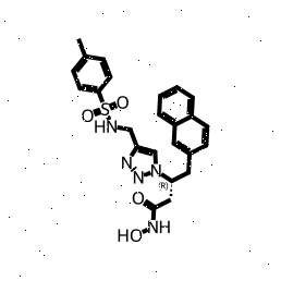 Cc1ccc(S(=O)(=O)NCc2cn([C@@H](CC(=O)NO)Cc3ccc4ccccc4c3)nn2)cc1